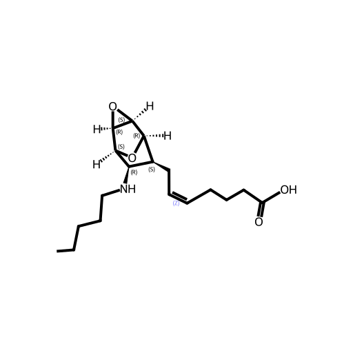 CCCCCN[C@@H]1[C@H](C/C=C\CCCC(=O)O)[C@H]2O[C@@H]1[C@H]1O[C@H]12